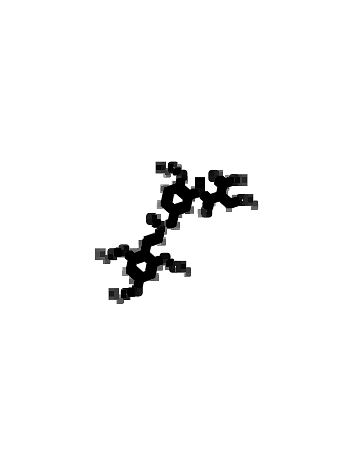 CCC(C(=O)O)C(=O)Nc1cc(C[S+]([O-])C=Cc2c(OC)cc(OC)cc2OC)ccc1OC